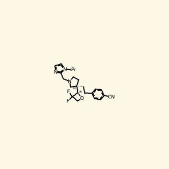 CC(C)n1ccnc1CN1CC[C@@](CCc2ccc(C#N)cc2)([C@H]2OCC2(F)F)C1